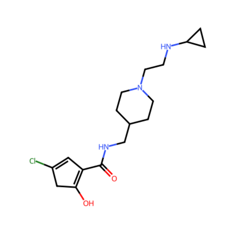 O=C(NCC1CCN(CCNC2CC2)CC1)C1=C(O)CC(Cl)=C1